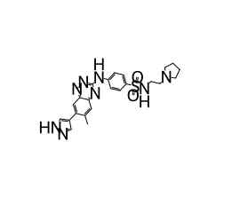 Cc1cc2nc(Nc3ccc(S(=O)(=O)NCCN4CCCC4)cc3)nnc2cc1-c1cn[nH]c1